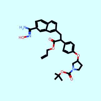 C=CCOC(=O)C(Cc1ccc2ccc(C(N)=NO)cc2c1)c1ccc(OC2CCN(C(=O)OC(C)(C)C)C2)cc1